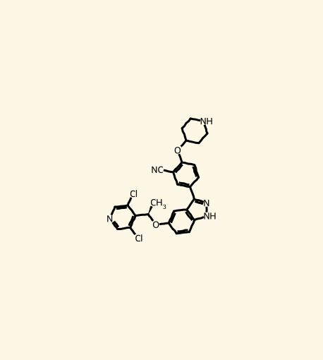 C[C@@H](Oc1ccc2[nH]nc(-c3ccc(OC4CCNCC4)c(C#N)c3)c2c1)c1c(Cl)cncc1Cl